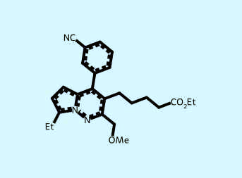 CCOC(=O)CCCCc1c(COC)nn2c(CC)ccc2c1-c1cccc(C#N)c1